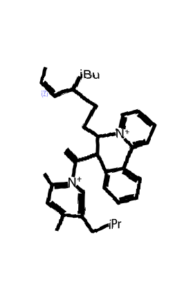 C=C(C1c2ccccc2-c2cccc[n+]2C1CCC(/C=C\C)C(C)CC)[n+]1cc(CC(C)C)c(C)cc1C